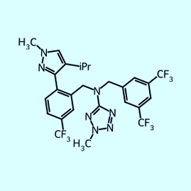 CC(C)c1cn(C)nc1-c1ccc(C(F)(F)F)cc1CN(Cc1cc(C(F)(F)F)cc(C(F)(F)F)c1)c1nnn(C)n1